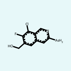 OCc1cc2cc([AsH2])ncc2c(Cl)c1F